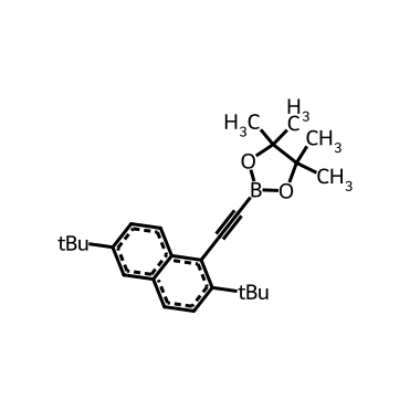 CC(C)(C)c1ccc2c(C#CB3OC(C)(C)C(C)(C)O3)c(C(C)(C)C)ccc2c1